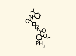 CCOc1cc(P)ccc1C(=O)N1CC2(CC(C(=O)N(C)c3ccccc3C(C)C)C2)C1